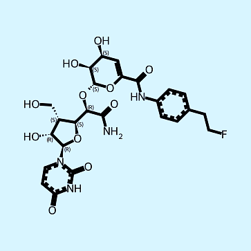 NC(=O)[C@H](O[C@H]1OC(C(=O)Nc2ccc(CCF)cc2)=C[C@H](O)[C@@H]1O)[C@H]1O[C@@H](n2ccc(=O)[nH]c2=O)[C@H](O)[C@@H]1CO